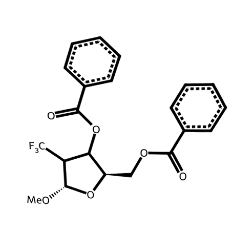 CO[C@H]1O[C@H](COC(=O)c2ccccc2)C(OC(=O)c2ccccc2)C1C(F)(F)F